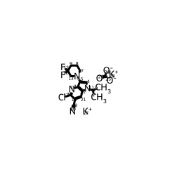 CC(C)n1cc(N2CCCC(F)(F)C2)c2nc(Cl)c(C#N)cc21.O=C([O-])[O-].[K+].[K+]